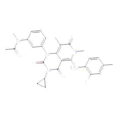 CC(=O)N(C)c1cccc(-n2c(=O)n(C3CC3)c(=O)c3c(Nc4ccc(C)cc4F)n(C)c(=O)c(C)c32)c1